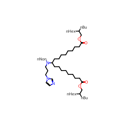 CCCCCCCCCN(CCCn1ccnc1)C(CCCCCCCCC(=O)OCC(CCCC)CCCCCC)CCCCCCCCC(=O)OCC(CCCC)CCCCCC